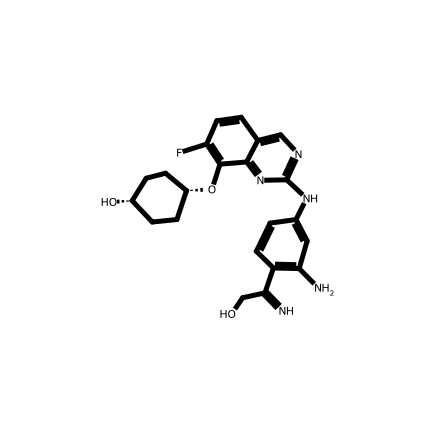 N=C(CO)c1ccc(Nc2ncc3ccc(F)c(O[C@H]4CC[C@@H](O)CC4)c3n2)cc1N